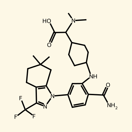 CN(C)C(C(=O)O)C1CCC(Nc2cc(-n3nc(C(F)(F)F)c4c3CC(C)(C)CC4)ccc2C(N)=O)CC1